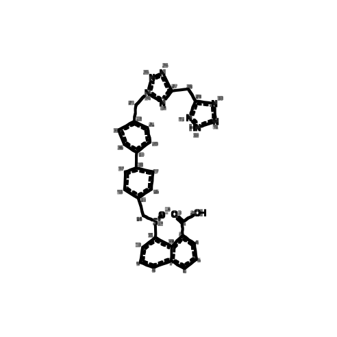 O=C(O)c1cccc2cccc([S+]([O-])Cc3ccc(-c4ccc(Cn5nnc(Cc6nn[nH]n6)n5)cc4)cc3)c12